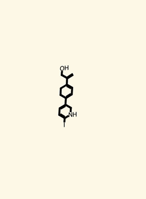 C=C(CO)C1=CC=C(C2=CC=C(I)NC2)CC1